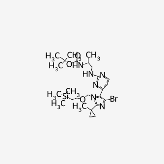 CC(CNc1nccc(-c2c(Br)nc(C3(C)CC3)n2COCC[Si](C)(C)C)n1)NC(=O)OC(C)(C)C